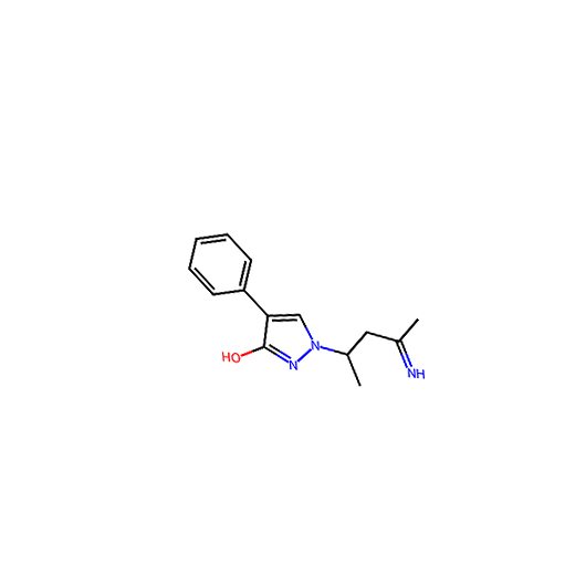 CC(=N)CC(C)n1cc(-c2ccccc2)c(O)n1